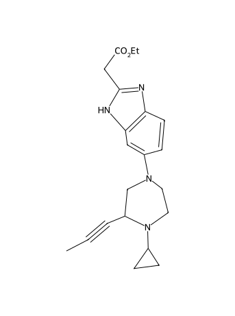 CC#CC1CN(c2ccc3nc(CC(=O)OCC)[nH]c3c2)CCN1C1CC1